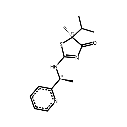 CC(C)[C@]1(C)SC(N[C@@H](C)c2ccccn2)=NC1=O